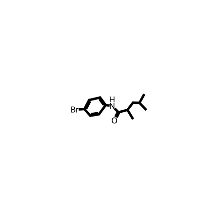 CC(C)CC(C)C(=O)Nc1ccc(Br)cc1